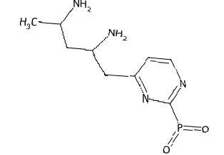 CC(N)CC(N)Cc1ccnc(P(=O)=O)n1